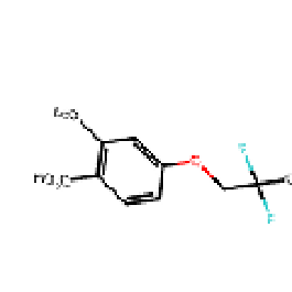 CC(=O)Oc1cc(OCC(F)(F)C(F)(F)F)ccc1C(=O)O